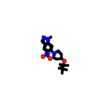 Cn1ncc2cc([N+](=O)[O-])c(N3CCC(O[Si](C)(C)C(C)(C)C)CC3)cc21